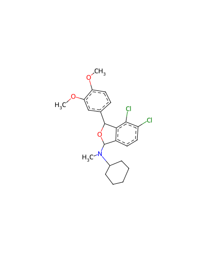 COc1ccc(C2OC(N(C)C3CCCCC3)c3ccc(Cl)c(Cl)c32)cc1OC